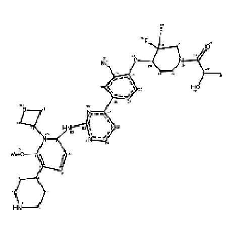 COC1=C(C2CCNCC2)C=CC(Nc2nccc(-c3ccc(OC4CCN(C(=O)C(C)O)CC4(F)F)c(C#N)c3)n2)N1C1COC1